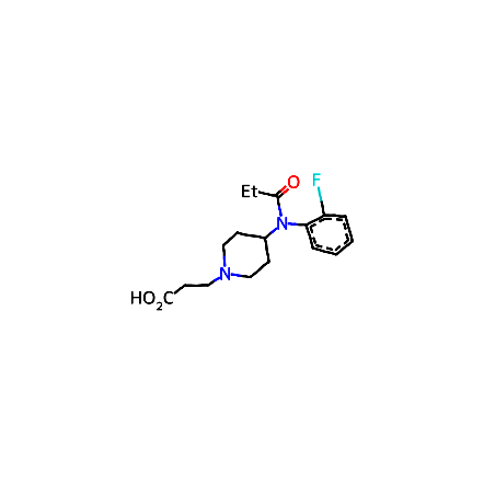 CCC(=O)N(c1ccccc1F)C1CCN(CCC(=O)O)CC1